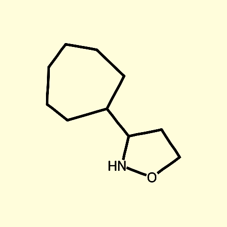 C1CCCC(C2CCON2)CC1